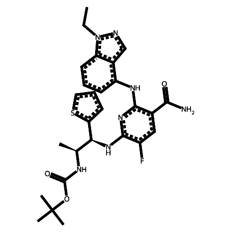 CCn1ncc2c(Nc3nc(N[C@H](c4cccs4)[C@H](C)NC(=O)OC(C)(C)C)c(F)cc3C(N)=O)cccc21